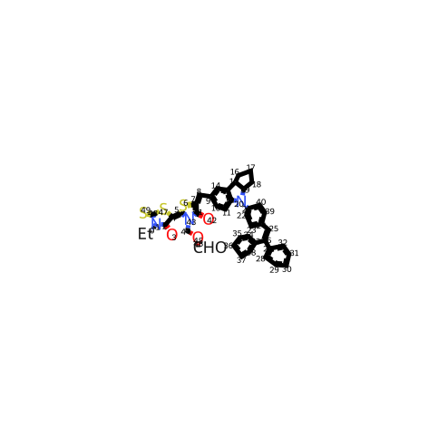 CCN1C(=O)/C(=c2/s/c(=C/c3ccc4c(c3)C3CCCC3N4c3ccc(C=C(c4ccccc4)c4ccccc4)cc3)c(=O)n2COC=O)SC1=S